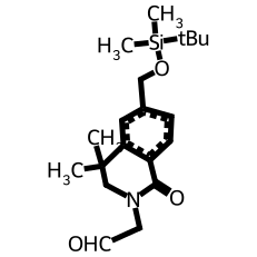 CC1(C)CN(CC=O)C(=O)c2ccc(CO[Si](C)(C)C(C)(C)C)cc21